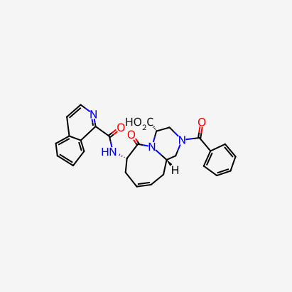 O=C(N[C@H]1C/C=C\C[C@H]2CN(C(=O)c3ccccc3)C[C@@H](C(=O)O)N2C1=O)c1nccc2ccccc12